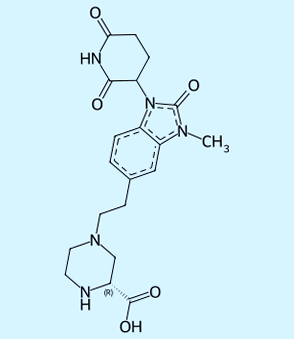 Cn1c(=O)n(C2CCC(=O)NC2=O)c2ccc(CCN3CCN[C@@H](C(=O)O)C3)cc21